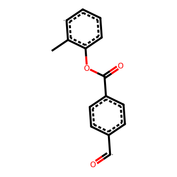 Cc1[c]cccc1OC(=O)c1ccc([C]=O)cc1